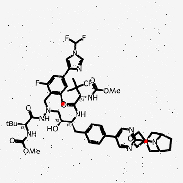 COC(=O)N[C@H](C(=O)NN(Cc1c(F)cc(-c2cn(C(F)F)cn2)cc1F)C[C@H](O)[C@H](Cc1ccc(-c2cnc(N3CC4CCC(C3)N4C3COC3)nc2)cc1)NC(=O)[C@@H](NC(=O)OC)C(C)(C)C(F)(F)F)C(C)(C)C